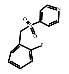 O=S(=O)(Cc1ccccc1F)c1ccncc1